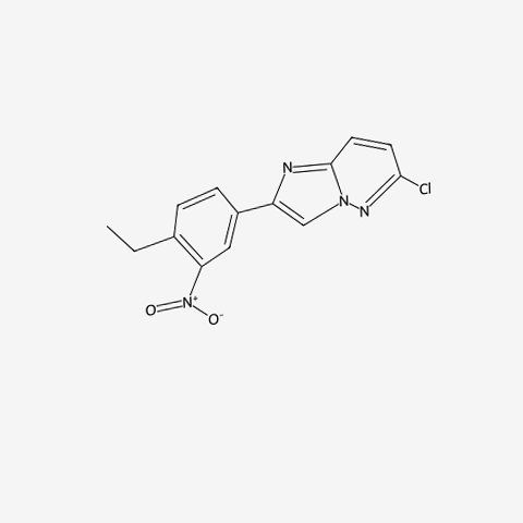 CCc1ccc(-c2cn3nc(Cl)ccc3n2)cc1[N+](=O)[O-]